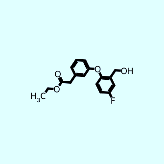 CCOC(=O)Cc1cccc(Oc2ccc(F)cc2CO)c1